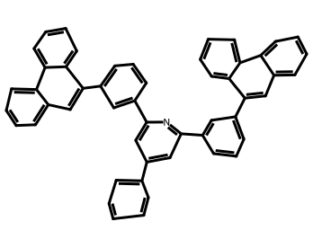 c1ccc(-c2cc(-c3cccc(-c4cc5ccccc5c5ccccc45)c3)nc(-c3cccc(-c4cc5ccccc5c5ccccc45)c3)c2)cc1